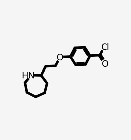 O=C(Cl)c1ccc(OCCC2CCCCCN2)cc1